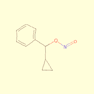 O=NOC(c1ccccc1)C1CC1